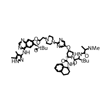 CNC(C)C(=O)NC(C(=O)N1C[C@@H](Oc2cnc(N3CCN(CCOc4cc5ncnc(Nc6n[nH]c(C)c6C)c5cc4S(=O)(=O)C(C)(C)C)CC3)nc2)C[C@H]1C(=O)N[C@@H]1CCCc2ccccc21)C(C)(C)C